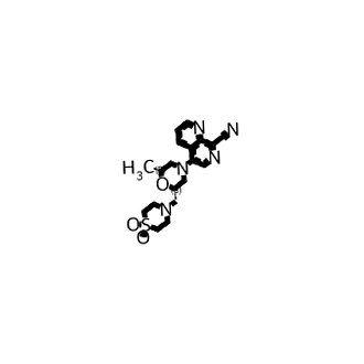 C[C@@H]1CN(c2cnc(C#N)c3ncccc23)C[C@H](CN2CCS(=O)(=O)CC2)O1